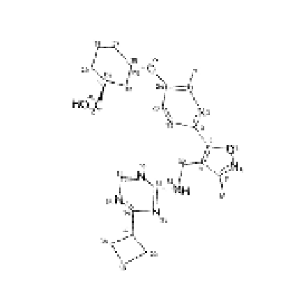 Cc1nc(-c2onc(C)c2CNc2ncnc(C3CCC3)n2)ccc1O[C@H]1CCC[C@H](C(=O)O)C1